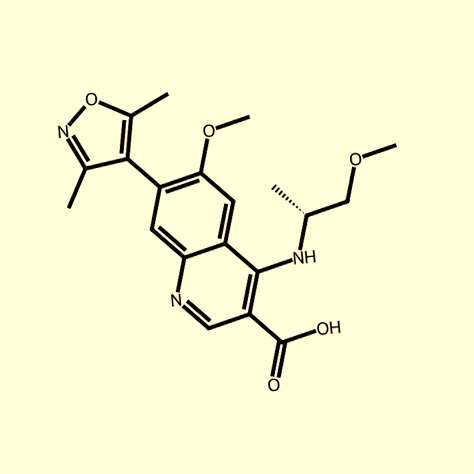 COC[C@@H](C)Nc1c(C(=O)O)cnc2cc(-c3c(C)noc3C)c(OC)cc12